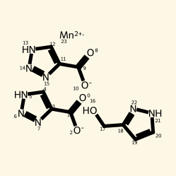 O=C([O-])c1c[nH]nn1.O=C([O-])c1c[nH]nn1.OCc1cc[nH]n1.[Mn+2]